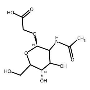 CC(=O)NC1C(O)[C@H](O)C(CO)O[C@H]1OCC(=O)O